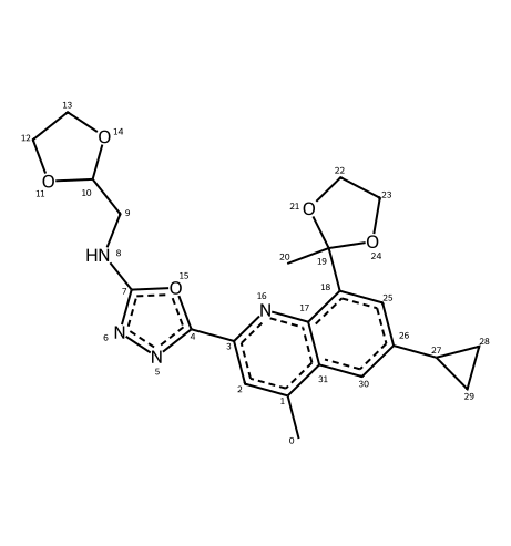 Cc1cc(-c2nnc(NCC3OCCO3)o2)nc2c(C3(C)OCCO3)cc(C3CC3)cc12